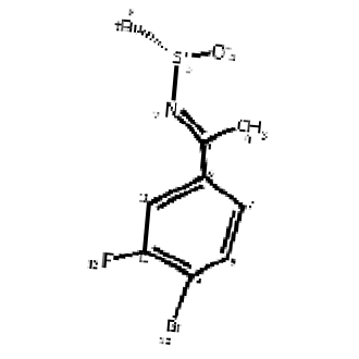 CC(=N[S@@+]([O-])C(C)(C)C)c1ccc(Br)c(F)c1